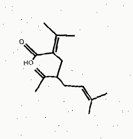 C=C(C)C(CC=C(C)C)CC(C(=O)O)=C(C)C